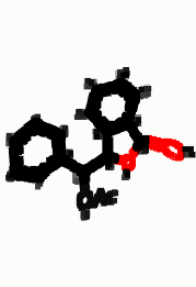 CC(=O)OC(c1ccccc1)C1OC(=O)c2ccccc21